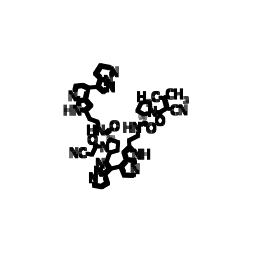 CC(C)=C(C#N)C(=O)N1CCC[C@H]1C(=O)NCCc1cc2c(-c3c(C4CC[C@@H](C(=O)NCCc5cc6c(-c7cnn8ncccc78)ccnc6[nH]5)N4C(=O)CC#N)nn4ncccc34)ccnc2[nH]1